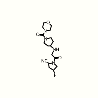 N#CC1CC(F)CN1C(=O)CNC1CCN(C(=O)N2CCOCC2)CC1